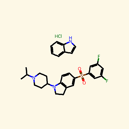 CC(C)N1CCC(N2CCc3cc(S(=O)(=O)c4cc(F)cc(F)c4)ccc32)CC1.Cl.c1ccc2[nH]ccc2c1